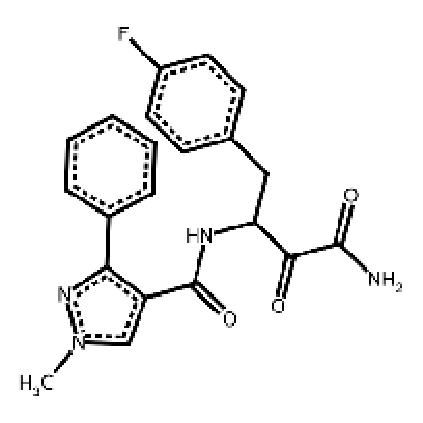 Cn1cc(C(=O)NC(Cc2ccc(F)cc2)C(=O)C(N)=O)c(-c2ccccc2)n1